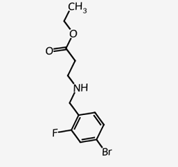 CCOC(=O)CCNCc1ccc(Br)cc1F